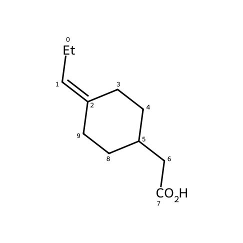 CCC=C1CCC(CC(=O)O)CC1